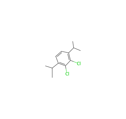 CC(C)c1ccc(C(C)C)c(Cl)c1Cl